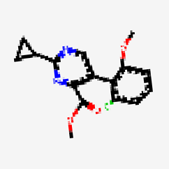 COC(=O)c1nc(C2CC2)ncc1-c1c(Cl)cccc1OC